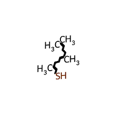 CC(C)=CCCC(C)=CCCC(C)=CCS